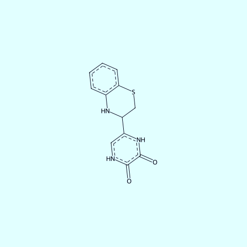 O=c1[nH]cc(C2CSc3ccccc3N2)[nH]c1=O